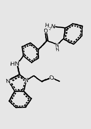 COCCn1c(Nc2ccc(C(=O)Nc3ccccc3N)cc2)nc2ccccc21